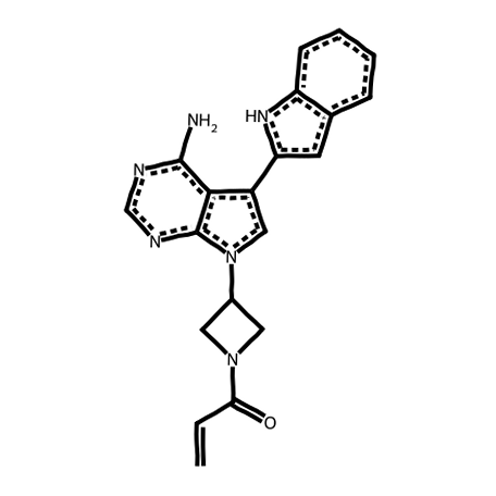 C=CC(=O)N1CC(n2cc(-c3cc4ccccc4[nH]3)c3c(N)ncnc32)C1